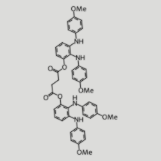 COc1ccc(Nc2cccc(OC(=O)CCC(=O)Oc3cccc(Nc4ccc(OC)cc4)c3Nc3ccc(OC)cc3)c2Nc2ccc(OC)cc2)cc1